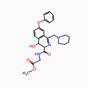 COC(=O)CNC(=O)C1N=C(CN2CCCCC2)c2cc(Oc3ccccc3)ccc2C1O